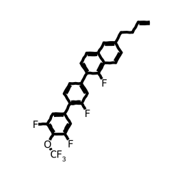 C=CCCc1ccc2c(F)c(-c3ccc(-c4cc(F)c(OC(F)(F)F)c(F)c4)c(F)c3)ccc2c1